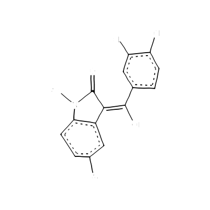 CC(=O)c1ccc2c(c1)C(=C(O)c1ccc(Cl)c(Cl)c1)C(=O)N2C(C)=O